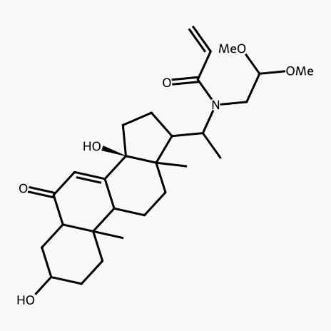 C=CC(=O)N(CC(OC)OC)C(C)C1CC[C@@]2(O)C3=CC(=O)C4CC(O)CCC4(C)C3CCC12C